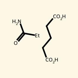 CCC(N)=O.O=C(O)CCCC(=O)O